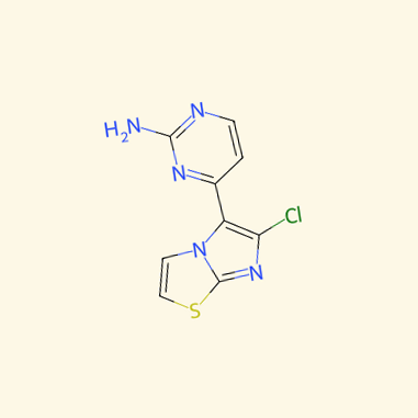 Nc1nccc(-c2c(Cl)nc3sccn23)n1